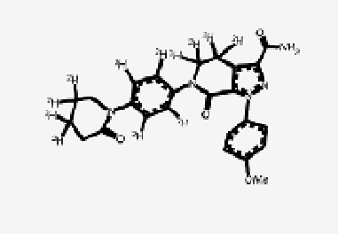 [2H]c1c([2H])c(N2C(=O)c3c(c(C(N)=O)nn3-c3ccc(OC)cc3)C([2H])([2H])C2([2H])[2H])c([2H])c([2H])c1N1CC([2H])([2H])C([2H])([2H])CC1=O